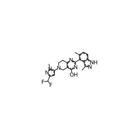 Cc1ccc2[nH]nc(C)c2c1-c1nc(O)c2c(n1)CCN(c1cc(C(F)F)nn1C)C2